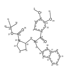 COc1ccc(C(=O)N(Cc2cc3ccccc3s2)CC2CCCN2C(=O)OC(C)(C)C)cc1OC